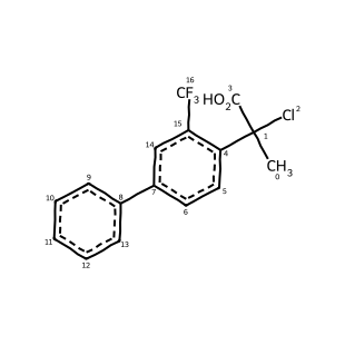 CC(Cl)(C(=O)O)c1ccc(-c2ccccc2)cc1C(F)(F)F